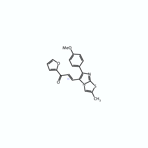 COc1ccc(-c2nc3sc(C)cn3c2/C=C/C(=O)c2ccco2)cc1